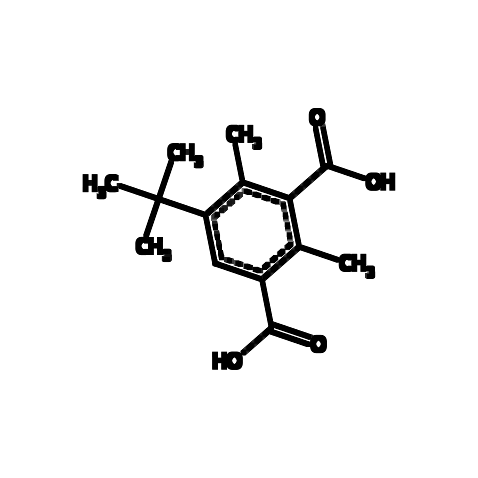 Cc1c(C(=O)O)cc(C(C)(C)C)c(C)c1C(=O)O